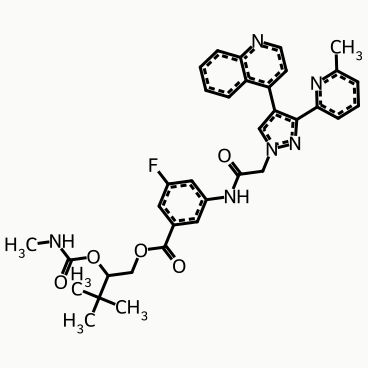 CNC(=O)OC(COC(=O)c1cc(F)cc(NC(=O)Cn2cc(-c3ccnc4ccccc34)c(-c3cccc(C)n3)n2)c1)C(C)(C)C